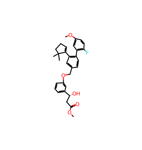 COC(=O)C[C@@H](O)c1cccc(OCc2ccc(-c3cc(OC)ccc3F)c(C3=CCCC3(C)C)c2)c1